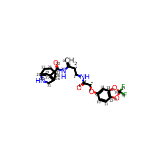 C=C(CCNC(=O)COc1ccc2c(c1)OC(F)(F)O2)NC(=O)C1=C2CCCC(=C1)NC2